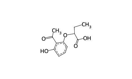 CCC(Oc1cccc(O)c1C(C)=O)C(=O)O